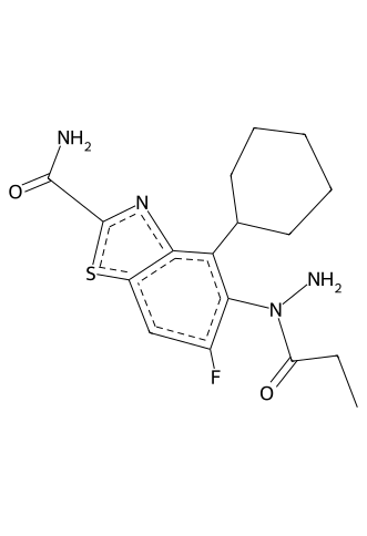 CCC(=O)N(N)c1c(F)cc2sc(C(N)=O)nc2c1C1CCCCC1